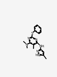 Cc1cc(Nc2nc(Sc3ccccc3)nc(N(C)C)c2C)n[nH]1